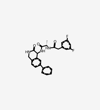 C[C@H](NC(=O)Cc1cc(F)cc(F)c1)C(=O)NC1C(=O)NCc2ccc(-c3ccccc3)cc21